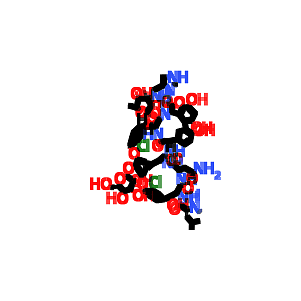 CN[C@H](CC(C)C)C(=O)NC1C(=O)NC(CC(N)=O)C(=O)NC2C(=O)N[C@H]3C(=O)N[C@H](C(=O)NC(C(=O)O)c4cc(O)cc(O)c4-c4cc3ccc4O)[C@H](O[C@H]3C[C@](C)(NCc4c[nH]cn4)[C@@H](O)C(C)O3)c3ccc(c(Cl)c3)Oc3cc2cc(c3O[C@@H]2O[C@H](CO)C(O)[C@H](O)C2O)Oc2ccc(cc2Cl)C1O